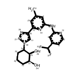 Cc1cc(Nc2cc(C(F)F)ccn2)nc(-c2cn(C3CCC[C@H](O)C3O)nn2)c1